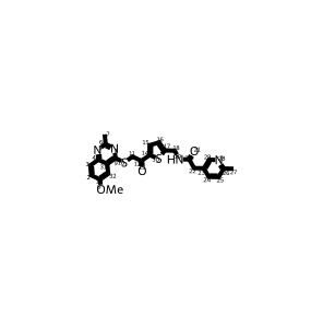 COc1ccc2nc(C)nc(SCC(=O)c3ccc(CNC(=O)Cc4ccc(C)nc4)s3)c2c1